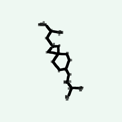 CCCCCCC(CCCC)CN1CC2(CCC(CNC(CC)CCC)CC2)C1